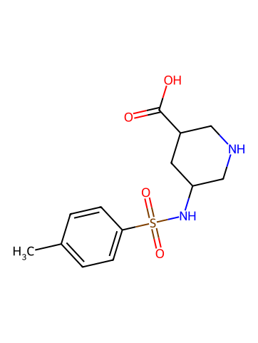 Cc1ccc(S(=O)(=O)NC2CNCC(C(=O)O)C2)cc1